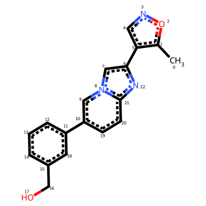 Cc1oncc1-c1cn2cc(-c3cccc(CO)c3)ccc2n1